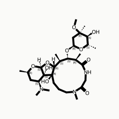 CO[C@]1(C)C[C@H](O[C@H]2[C@H](C)[C@H]3O[C@@H]4O[C@H](C)C[C@H](N(C)C)[C@]4(O)[C@@]3(O)CCCN(C)C(=O)CNC(=O)[C@@H]2C)O[C@@H](C)[C@@H]1O